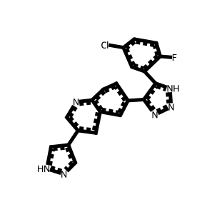 Fc1ccc(Cl)cc1-c1[nH]nnc1-c1ccc2ncc(-c3cn[nH]c3)cc2c1